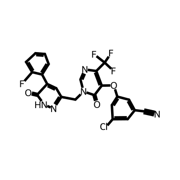 N#Cc1cc(Cl)cc(Oc2c(C(F)(F)F)ncn(Cc3cc(-c4ccccc4F)c(=O)[nH]n3)c2=O)c1